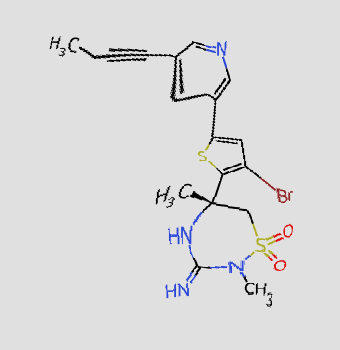 CC#Cc1cncc(-c2cc(Br)c([C@]3(C)CS(=O)(=O)N(C)C(=N)N3)s2)c1